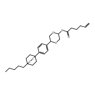 C=CCCCC(=O)OC1COC(c2ccc(C34CCC(CCCCC)(CC3)CC4)cc2)CO1